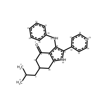 CC(C)CC1CC(=O)c2c([nH]c(-c3ccncc3)c2Nc2ccccc2)C1